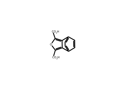 O=C(O)c1oc(C(=O)O)c2c3ccc(cc3)c12